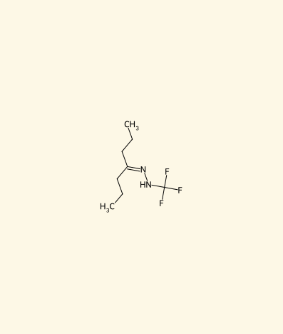 CCCC(CCC)=NNC(F)(F)F